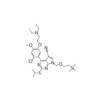 CCN(CC)CCOc1cc(-c2nc(SC(C)C)nc3c2c(C#N)cn3COCC[Si](C)(C)C)c(Cl)cc1OC